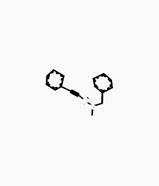 CN(Cc1ccccc1)S(=O)(=O)C#Cc1ccccc1